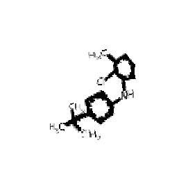 Cc1cccc(Nc2ccc(C(C)(C)C)cc2)c1Cl